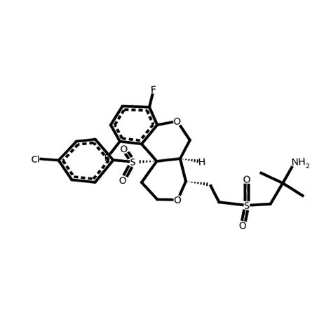 CC(C)(N)CS(=O)(=O)CC[C@@H]1OCC[C@@]2(S(=O)(=O)c3ccc(Cl)cc3)c3c(F)ccc(F)c3OC[C@@H]12